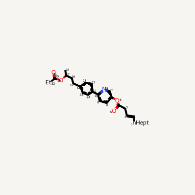 CCCCCCCC=CCC(=O)Oc1ccc(-c2ccc(CCC(C)OC(=O)CC)cc2)nc1